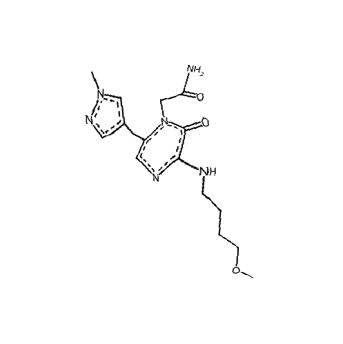 COCCCCNc1ncc(-c2cnn(C)c2)n(CC(N)=O)c1=O